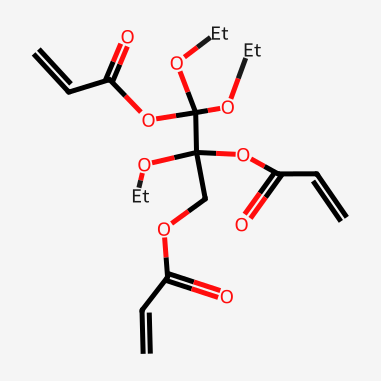 C=CC(=O)OCC(OCC)(OC(=O)C=C)C(OCC)(OCC)OC(=O)C=C